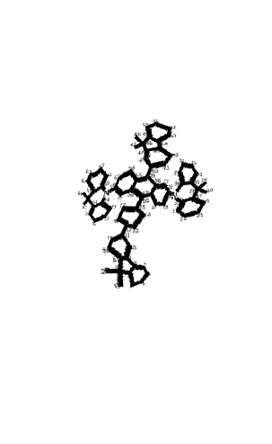 CC1(C)c2ccccc2-c2cc(-c3ccc(-c4c5ccc(N6c7ccccc7C(C)(C)c7ccccc76)cc5c(-c5ccc6c(c5)C(C)(C)c5ccccc5-6)c5ccc(N6c7ccccc7C(C)(C)c7ccccc76)cc45)cc3)ccc21